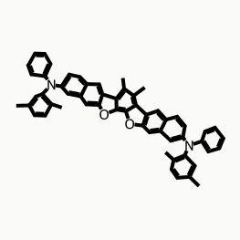 Cc1ccc(C)c(N(c2ccccc2)c2ccc3cc4c(cc3c2)oc2c3oc5cc6cc(N(c7ccccc7)c7cc(C)ccc7C)ccc6cc5c3c(C)c(C)c42)c1